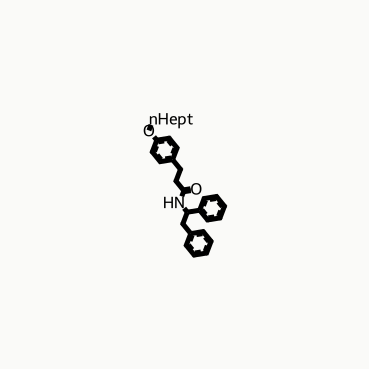 CCCCCCCOc1ccc(CCC(=O)NC(Cc2ccccc2)c2ccccc2)cc1